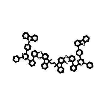 CC1(CCC2(C)c3ccccc3-c3c2ccc2c3Oc3c(cccc3-c3ccccc3-c3nc(-c4ccccc4)cc(C4C=CC(c5cccc6c5oc5ccccc56)=CC4)n3)O2)c2ccccc2-c2c1ccc1c2Oc2c(cccc2-c2ccccc2-c2cc(-c3ccc(-n4c5ccccc5c5ccccc54)cc3)nc(C3=CC=CCC3)n2)O1